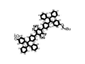 CCCCCCCCOc1ccc(C(=C(c2ccccc2)c2ccccc2)c2ccc(-c3c4c(c(-c5ccc(C(=C(c6ccccc6)c6ccccc6)c6ccc(OC[C@H](C)CC)cc6)cc5)c5nsnc35)N=S=N4)cc2)cc1